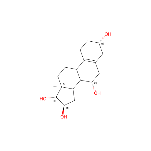 C[C@]12CCC3C4=C(C[C@@H](O)CC4)C[C@H](O)C3C1C[C@@H](O)[C@@H]2O